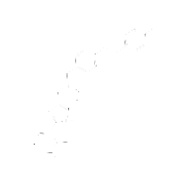 Fc1ccc(COc2ccc(CN3Cc4nc(-c5cccc(F)c5F)[nH]c4C=N3)cc2)cc1